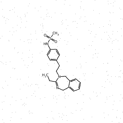 CCC1=NCc2ccccc2CN1CCc1ccc(NS(C)(=O)=O)cc1